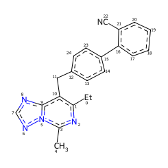 CCc1nc(C)n2ncnc2c1Cc1ccc(-c2ccccc2C#N)cc1